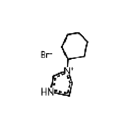 [Br-].c1c[n+](C2CCCCC2)c[nH]1